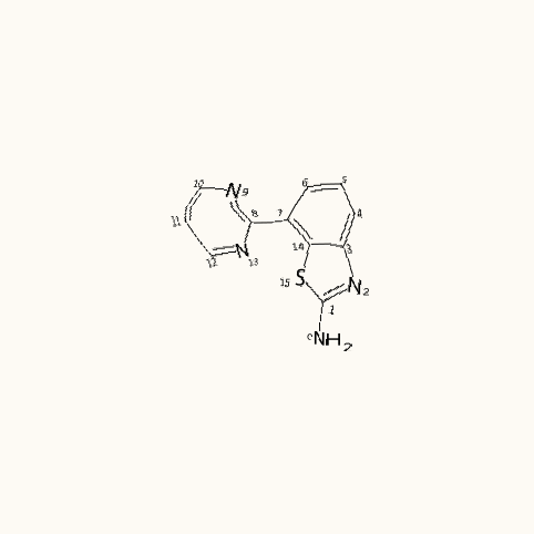 Nc1nc2cccc(-c3ncccn3)c2s1